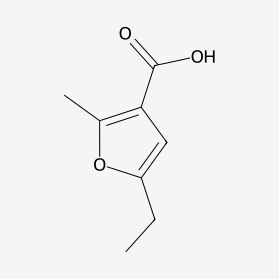 CCc1cc(C(=O)O)c(C)o1